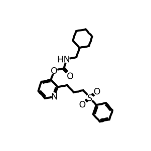 O=C(NCC1CCCCC1)Oc1cccnc1CCCS(=O)(=O)c1ccccc1